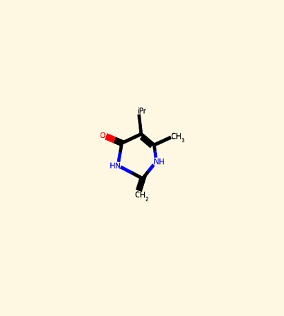 C=C1NC(=O)C(C(C)C)=C(C)N1